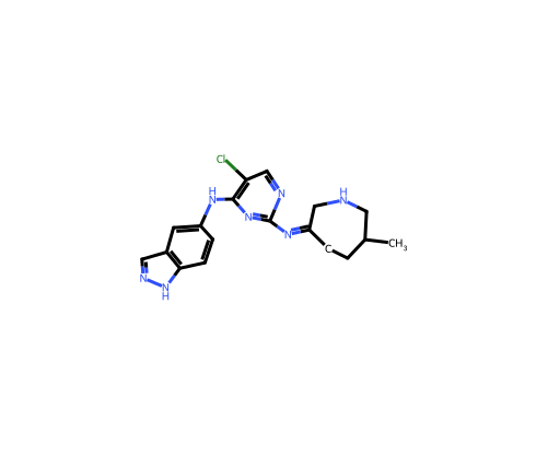 CC1CC/C(=N/c2ncc(Cl)c(Nc3ccc4[nH]ncc4c3)n2)CNC1